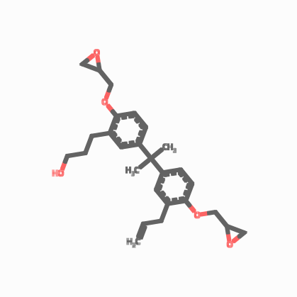 C=CCc1cc(C(C)(C)c2ccc(OCC3CO3)c(CCCO)c2)ccc1OCC1CO1